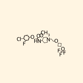 CO[C@@H]1CN(CCO[C@H]2C[C@@H](OC(F)(F)F)C2)CC[C@H]1NC(=O)COc1ccc(Cl)c(F)c1